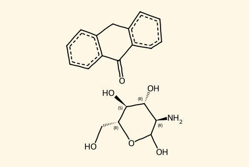 N[C@H]1C(O)O[C@H](CO)[C@@H](O)[C@@H]1O.O=C1c2ccccc2Cc2ccccc21